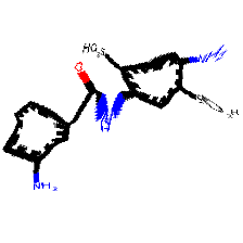 Nc1cccc(C(=O)Nc2cc(S(=O)(=O)O)c(N)cc2S(=O)(=O)O)c1